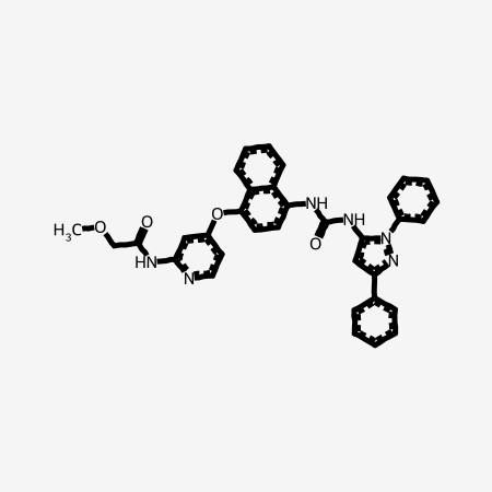 COCC(=O)Nc1cc(Oc2ccc(NC(=O)Nc3cc(-c4ccccc4)nn3-c3ccccc3)c3ccccc23)ccn1